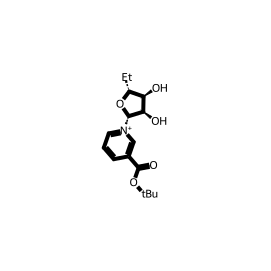 CC[C@H]1O[C@@H]([n+]2cccc(C(=O)OC(C)(C)C)c2)[C@H](O)[C@@H]1O